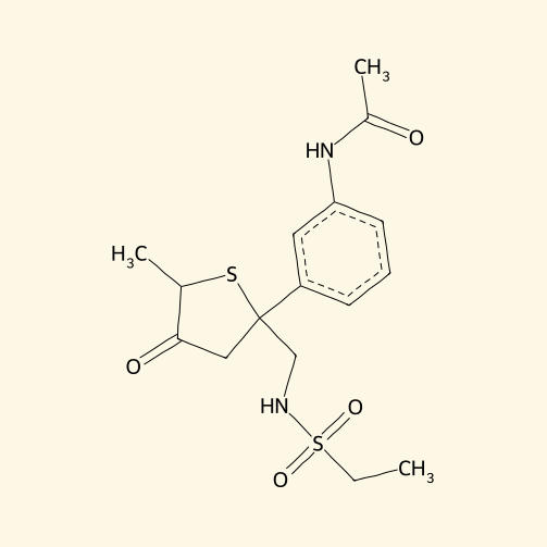 CCS(=O)(=O)NCC1(c2cccc(NC(C)=O)c2)CC(=O)C(C)S1